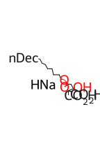 CCCCCCCCCCCCCCCCCCOC(=O)CC(O)(CC(=O)O)C(=O)O.[NaH]